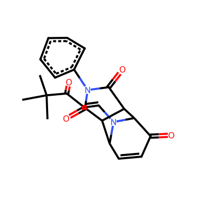 CC(C)(C)C(=O)/C=C/N1C2C=CC(=O)C1C1C(=O)N(c3ccccc3)C(=O)C12